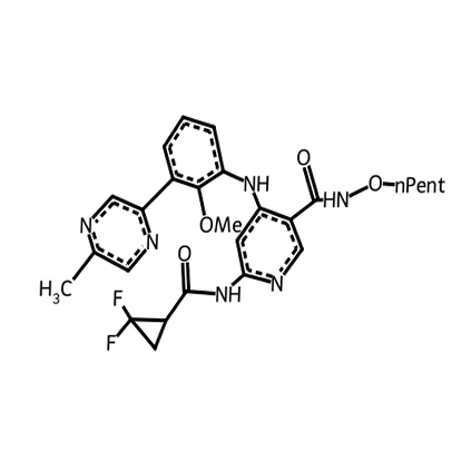 CCCCCONC(=O)c1cnc(NC(=O)C2CC2(F)F)cc1Nc1cccc(-c2cnc(C)cn2)c1OC